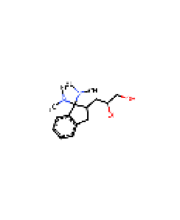 CCN(C)C1(N(C)CC)c2ccccc2CC1C[C@H](O)CO